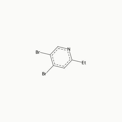 CCc1cc(Br)c(Br)cn1